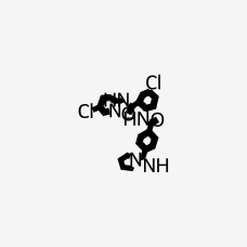 N=C(c1ccc(C(=O)Nc2ccc(Cl)cc2C(=O)Nc2ccc(Cl)cn2)cc1)N1CCCC1